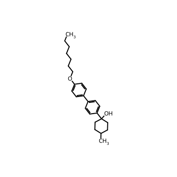 CCCCCCCOc1ccc(-c2ccc(C3(O)CCC(C)CC3)cc2)cc1